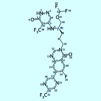 O=c1[nH]ncc(N[C@H](CCCn2cnc3cc(-c4cnc(C(F)(F)F)cn4)c(F)cc3c2=O)COC(F)F)c1C(F)(F)F